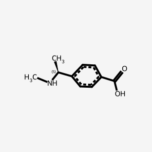 CN[C@@H](C)c1ccc(C(=O)O)cc1